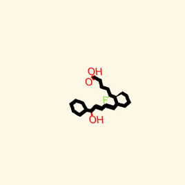 O=C(O)CCC[C@@H](F)[C@H]1CCCCC1/C=C/C=C/[C@@H](O)C1CCCCC1